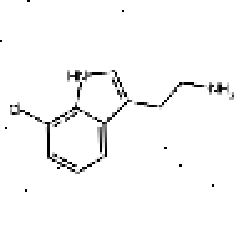 NCCc1c[nH]c2c(Cl)cccc12